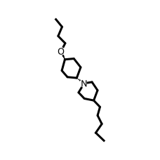 CCCCCC1CCN([C@H]2CC[C@H](OCCCC)CC2)CC1